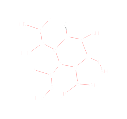 BBB(B)B1B(B(B)B(B)B)B(C)B(B)B(BB)B1B(B)B